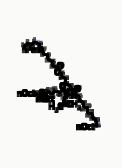 CCCCC/C=C\C/C=C\CCCCCCCC(=O)OCCCCCC(C(=O)NCCCCCCCC/C=C\CCCCCCCC)N(CCN(C)C)C(=O)CCCCC(=O)OC(CCCCCCCC)CCCCCCCC